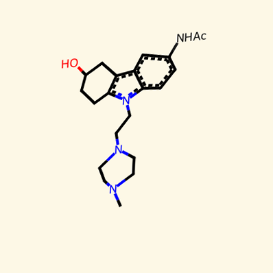 CC(=O)Nc1ccc2c(c1)c1c(n2CCN2CCN(C)CC2)CCC(O)C1